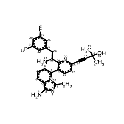 Cc1nc(N)c2cccc(-c3ccc(C#CC(C)(C)O)nc3[C@@H](N)Cc3cc(F)cc(F)c3)n12